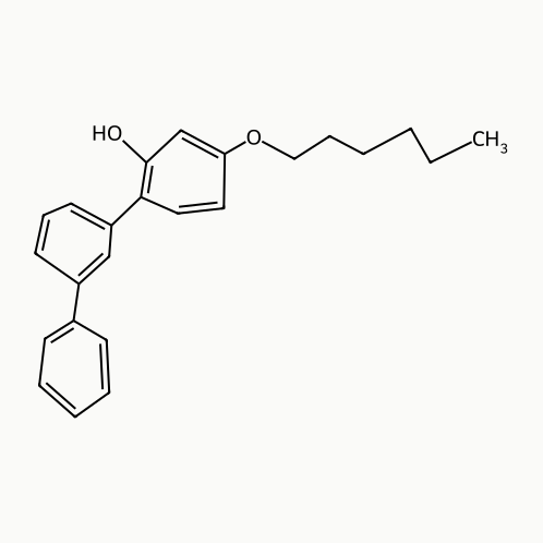 CCCCCCOc1ccc(-c2cccc(-c3ccccc3)c2)c(O)c1